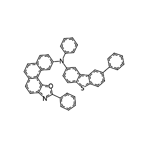 c1ccc(-c2ccc3sc4ccc(N(c5ccccc5)c5ccc6ccc7ccc8nc(-c9ccccc9)oc8c7c6c5)cc4c3c2)cc1